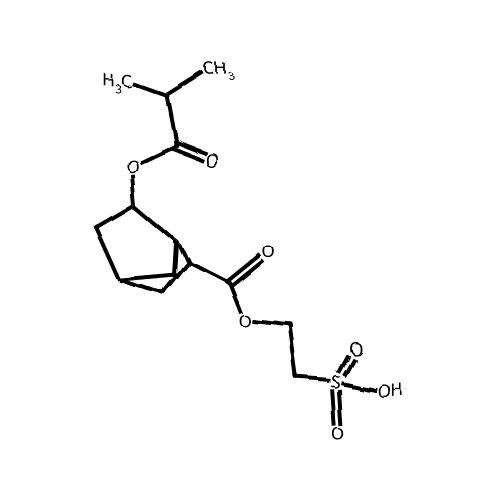 CC(C)C(=O)OC1CC2CC(C(=O)OCCS(=O)(=O)O)C1C2